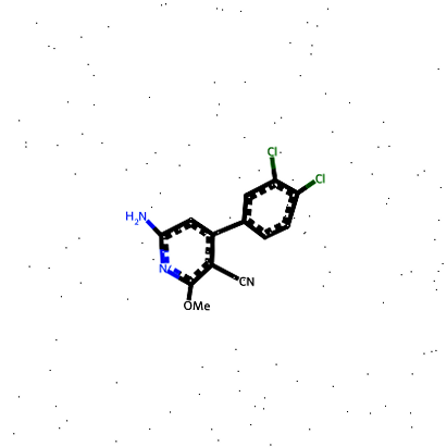 COc1nc(N)cc(-c2ccc(Cl)c(Cl)c2)c1C#N